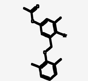 CC(=O)Oc1cc(C)c(Br)c(COc2c(C)cccc2C)c1